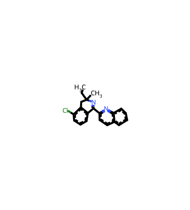 CCC1(C)Cc2c(Cl)cccc2C(c2ccc3ccccc3n2)=N1